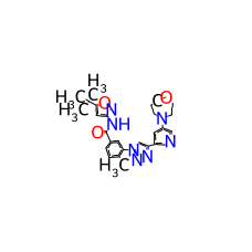 Cc1ccc(C(=O)Nc2cc(C(C)(C)C)on2)cc1-n1cc(-c2cncc(N3CCCOCC3)c2)nn1